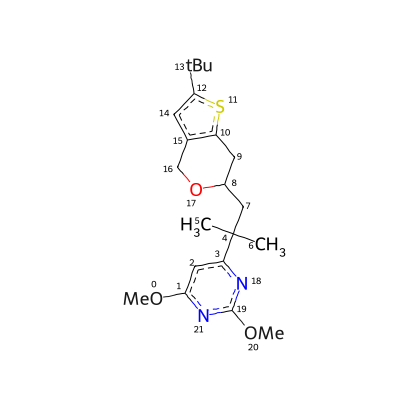 COc1cc(C(C)(C)CC2Cc3sc(C(C)(C)C)cc3CO2)nc(OC)n1